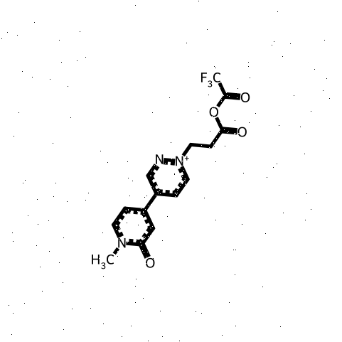 Cn1ccc(-c2cc[n+](CCC(=O)OC(=O)C(F)(F)F)nc2)cc1=O